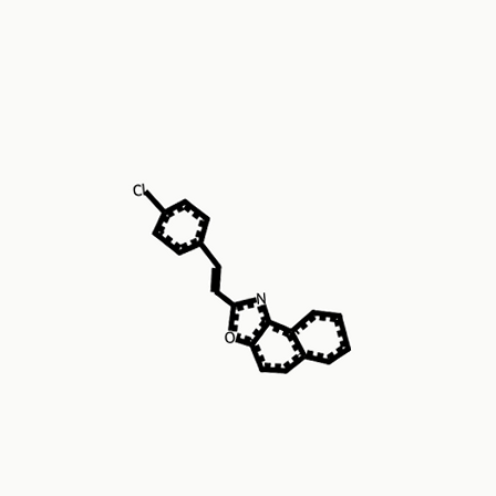 Clc1ccc(C=Cc2nc3c(ccc4ccccc43)o2)cc1